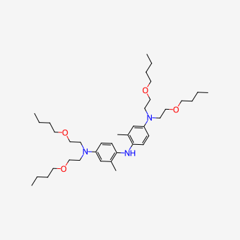 CCCCOCCN(CCOCCCC)c1ccc(Nc2ccc(N(CCOCCCC)CCOCCCC)cc2C)c(C)c1